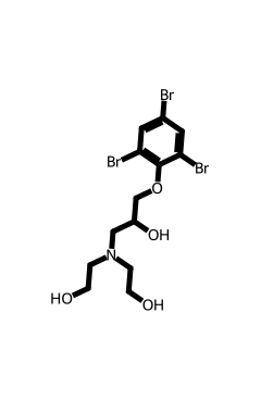 OCCN(CCO)CC(O)COc1c(Br)cc(Br)cc1Br